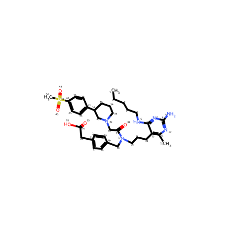 CCCCCNc1nc(N)nc(C)c1CCCN(Cc1ccc(CC(=O)O)cc1)C(=O)CN1CCCC(c2ccc(S(C)(=O)=O)cc2)C1